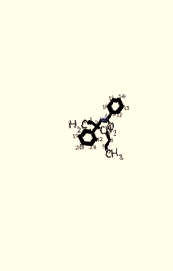 C=CC(C)(/C=C(\OCCCC)c1ccccc1)c1ccccc1